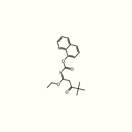 CCO/C(CC(=O)C(C)(C)C)=N/C(=O)Oc1cccc2cccnc12